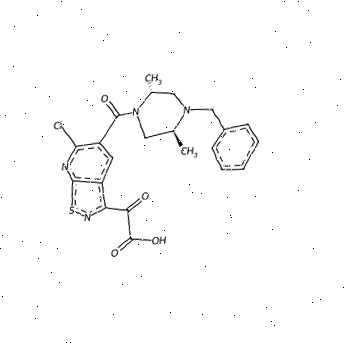 C[C@@H]1CN(Cc2ccccc2)[C@@H](C)CN1C(=O)c1cc2c(C(=O)C(=O)O)nsc2nc1Cl